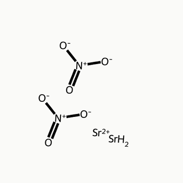 O=[N+]([O-])[O-].O=[N+]([O-])[O-].[Sr+2].[SrH2]